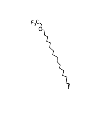 C=CCCCCCCCCCCCCCCCCOCC(F)(F)F